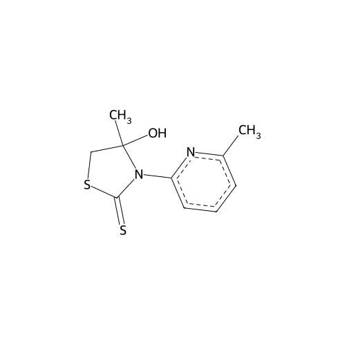 Cc1cccc(N2C(=S)SCC2(C)O)n1